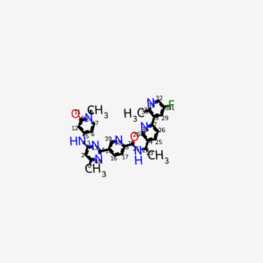 Cc1cc(Nc2ccn(C)c(=O)c2)nc(-c2ccc(C(=O)NC(C)c3ccc(-c4cc(F)cnc4C)nc3)nc2)n1